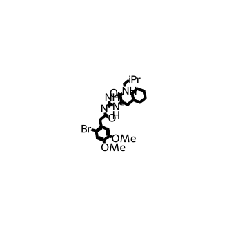 COc1cc(Br)c(CC(=O)N=C(N)NC(CC2CCCCC2)C(=O)NCC(C)C)cc1OC